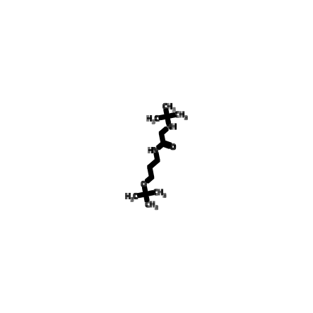 CC(C)(C)NCC(=O)NCCCOC(C)(C)C